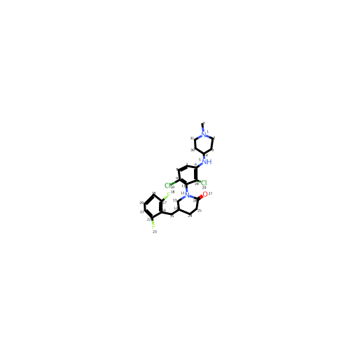 CN1CCC(Nc2ccc(Cl)c(N3CC(Cc4c(F)cccc4F)CCC3=O)c2Cl)CC1